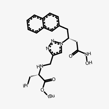 CC(C)C[C@H](NCc1cn([C@@H](CC(=O)NO)Cc2ccc3ccccc3c2)nn1)C(=O)OC(C)(C)C